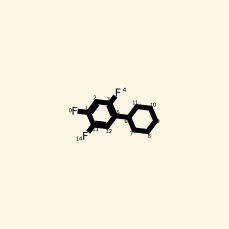 Fc1cc(F)c(C2CCCCC2)cc1F